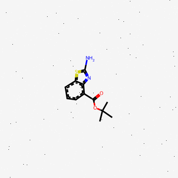 CC(C)(C)OC(=O)c1cccc2sc(N)nc12